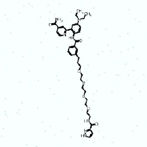 CCN(CC)c1ccc(NC(=O)c2cccc(CCCOCCOCCOCCOCCNC(=O)c3cc[nH]n3)c2)c(-c2cc(C(N)=O)ccn2)c1